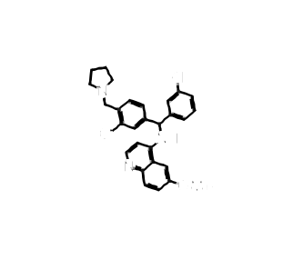 COc1ccc2nccc(NC(c3cccc(Cl)c3)c3ccc(CN4CCCC4)c(Cl)c3)c2c1